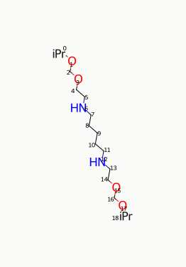 CC(C)OCOCCNCCCCCNCCOCOC(C)C